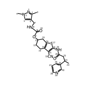 Cc1nn(C)cc1CNC(=O)OC1CCc2c(sc(NC(=O)CC(C)c3cccnc3)c2C#N)C1